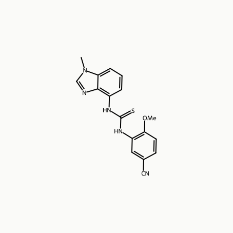 COc1ccc(C#N)cc1NC(=S)Nc1cccc2c1ncn2C